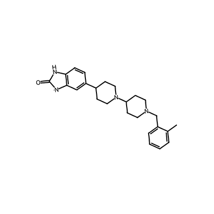 Cc1ccccc1CN1CCC(N2CCC(c3ccc4c(c3)[N]C(=O)N4)CC2)CC1